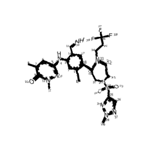 Cc1cc(Nc2cc(C)c(=O)n(C)n2)c(C=N)cc1C1CN(S(=O)(=O)c2cnn(C)n2)CCN1CCC(F)(F)F